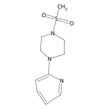 CS(=O)(=O)N1CCN(c2ccccn2)CC1